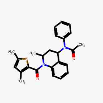 CC(=O)N(c1ccccc1)C1CC(C)N(C(=O)c2sc(C)cc2C)c2ccccc21